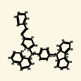 C(=C\c1ccc(N(c2ccc(-n3c4ccccc4c4ccccc43)cc2)c2cccc3ccccc23)cc1)/c1ccccc1